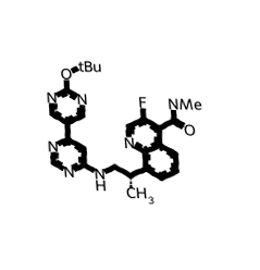 CNC(=O)c1c(F)cnc2c([C@H](C)CNc3cc(-c4cnc(OC(C)(C)C)nc4)ncn3)cccc12